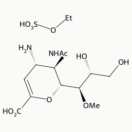 CCOS(=O)(=O)O.CO[C@@H]([C@@H]1OC(C(=O)O)=C[C@H](N)[C@H]1NC(C)=O)[C@H](O)CO